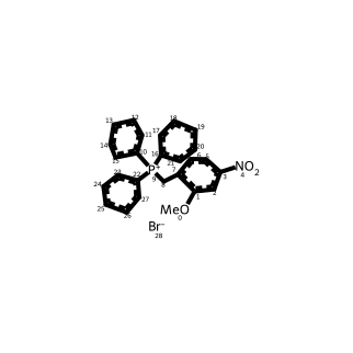 COc1cc([N+](=O)[O-])ccc1C[P+](c1ccccc1)(c1ccccc1)c1ccccc1.[Br-]